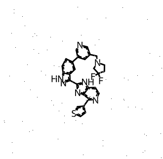 FC1(F)CCN(Cc2cncc(-c3ccc4[nH]nc(-c5nc6c(-c7ccsc7)nccc6[nH]5)c4c3)c2)C1